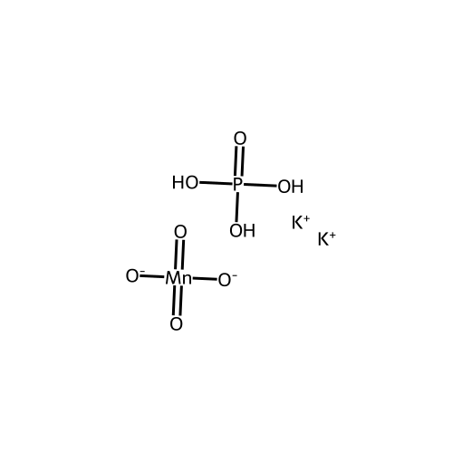 O=P(O)(O)O.[K+].[K+].[O]=[Mn](=[O])([O-])[O-]